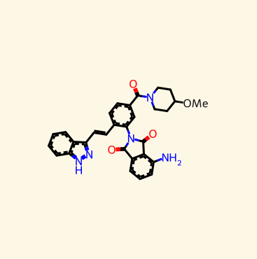 COC1CCN(C(=O)c2ccc(/C=C/c3n[nH]c4ccccc34)c(N3C(=O)c4cccc(N)c4C3=O)c2)CC1